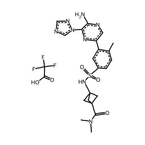 Cc1ccc(S(=O)(=O)NC23CC(C(=O)N(C)C)(C2)C3)cc1-c1cnc(N)c(-n2cncn2)n1.O=C(O)C(F)(F)F